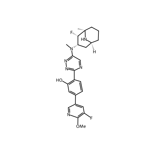 COc1ncc(-c2ccc(-c3ncc(N(C)[C@H]4C[C@@H]5CCC[C@@](C)(N5)[C@H]4F)nn3)c(O)c2)cc1F